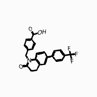 O=C(O)c1ccc(CN2C(=O)CCc3cc(-c4ccc(C(F)(F)F)cc4)ccc32)cc1